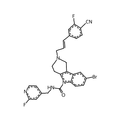 N#Cc1ccc(C=CCN2CCc3c(c4cc(Br)ccc4n3C(=O)NCc3ccnc(F)c3)C2)cc1F